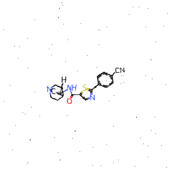 N#Cc1ccc(-c2ncc(C(=O)N[C@H]3CN4CCC3CC4)s2)cc1